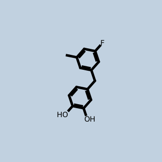 Cc1cc(F)cc(Cc2ccc(O)c(O)c2)c1